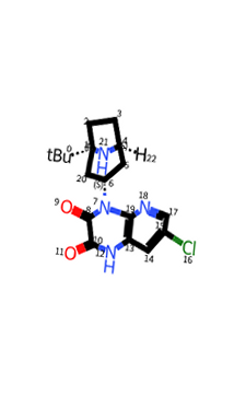 CC(C)(C)[C@@]12CC[C@@H](C[C@H](n3c(=O)c(=O)[nH]c4cc(Cl)cnc43)C1)N2